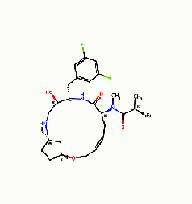 CCCC[C@H](C)C(=O)N(C)[C@H]1CC=CCO[C@H]2CC[C@H](C2)NC[C@@H](O)[C@H](Cc2cc(F)cc(F)c2)NC1=O